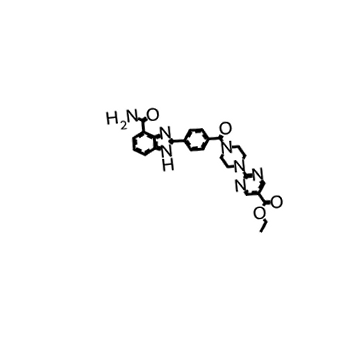 CCOC(=O)c1cnc(N2CCN(C(=O)c3ccc(-c4nc5c(C(N)=O)cccc5[nH]4)cc3)CC2)nc1